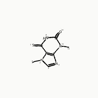 Cn1cnc2c1c(=S)[nH]c(=O)n2C